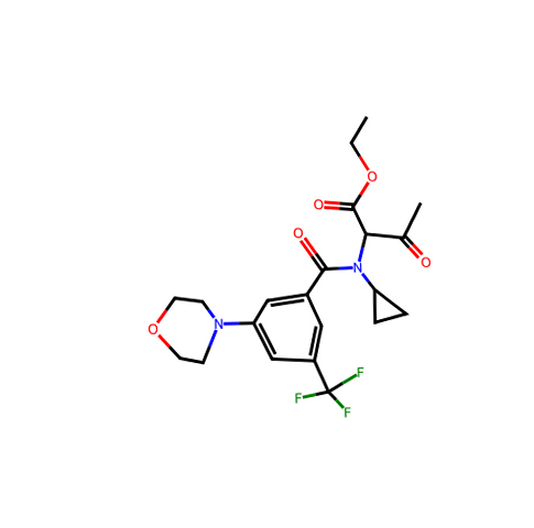 CCOC(=O)C(C(C)=O)N(C(=O)c1cc(N2CCOCC2)cc(C(F)(F)F)c1)C1CC1